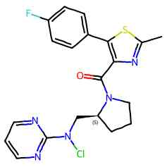 Cc1nc(C(=O)N2CCC[C@H]2CN(Cl)c2ncccn2)c(-c2ccc(F)cc2)s1